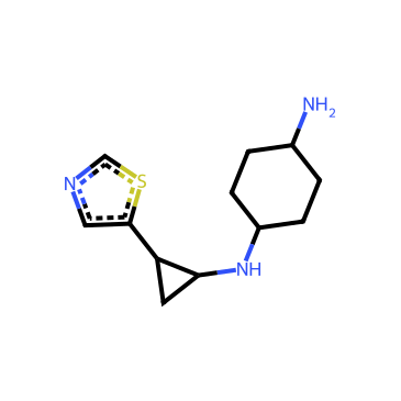 NC1CCC(NC2CC2c2cncs2)CC1